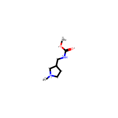 CC(C)N1CCC(CNC(=O)OC(C)(C)C)C1